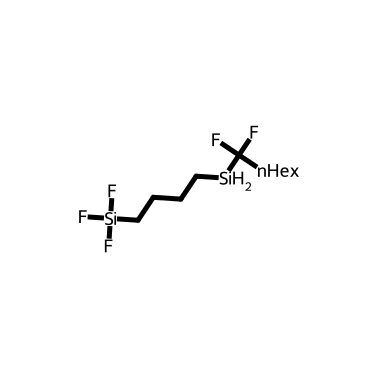 CCCCCCC(F)(F)[SiH2]CCCC[Si](F)(F)F